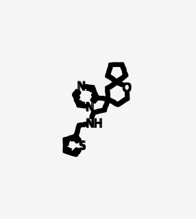 c1csc(CNCCC2(c3cnccn3)CCOC3(CCCC3)C2)c1